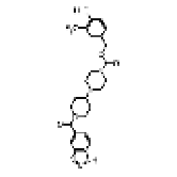 Cc1ccc(COC(=O)N2CCN(C3CCN(C(=O)c4ccc5[nH]nnc5c4)CC3)CC2)cc1C(F)(F)F